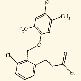 CCC(=O)CCc1cccc(Cl)c1COc1cc(C)c(CC)cc1C(F)(F)F